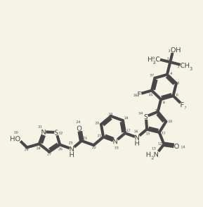 CC(C)(O)c1cc(F)c(-c2cc(C(N)=O)c(Nc3cccc(CC(=O)Nc4cc(CO)ns4)n3)s2)c(F)c1